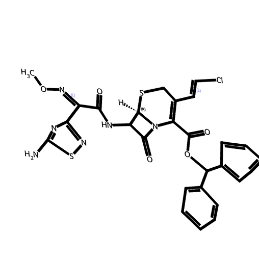 CO/N=C(/C(=O)NC1C(=O)N2C(C(=O)OC(c3ccccc3)c3ccccc3)=C(/C=C/Cl)CS[C@H]12)c1nsc(N)n1